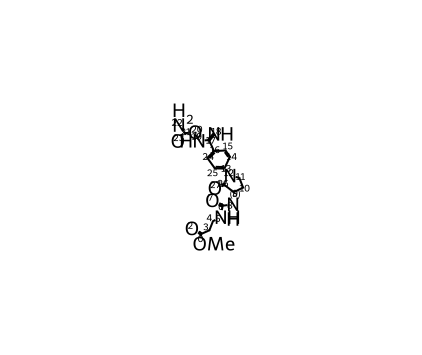 COC(=O)CCNC(=O)N[C@H]1CCN(c2ccc(C(=N)NOC(N)=O)cc2)C1=O